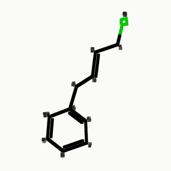 ClCC=CCc1ccccc1